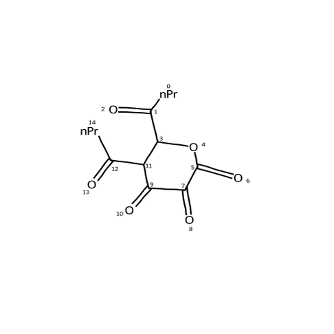 CCCC(=O)C1OC(=O)C(=O)C(=O)C1C(=O)CCC